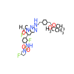 Cn1c(=O)c(-c2c(F)ccc(NS(=O)(=O)N3CC[C@@H](F)C3)c2F)cc2cnc(NCCc3ccc(CC(=O)OC(C)(C)C)cc3)nc21